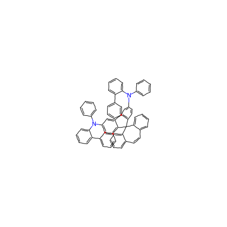 C1=Cc2ccccc2C2(c3ccccc31)c1ccc(N(c3ccccc3)c3ccccc3-c3ccccc3)cc1-c1cc(N(c3ccccc3)c3ccccc3-c3ccccc3)ccc12